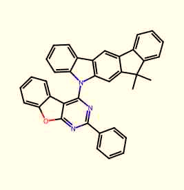 CC1(C)c2ccccc2-c2cc3c4ccccc4n(-c4nc(-c5ccccc5)nc5oc6ccccc6c45)c3cc21